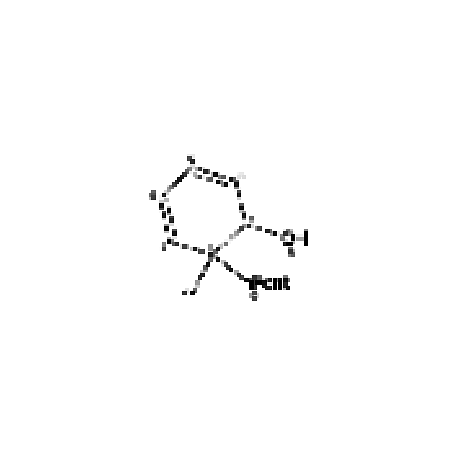 CCCCCC1(C)C=CC=CC1O